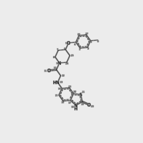 Cc1ccc(OC2CCN(C(=O)CNc3ccc4[nH]c(=O)sc4c3)CC2)cc1